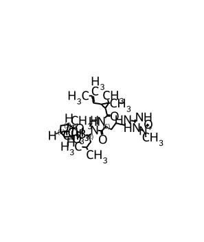 CC(C)=CC1C(C(=O)N[C@@H](CCCNC(=N)N[N+](C)=O)C(=O)N[C@@H](CC(C)C)B2O[C@@H]3C[C@@H]4C[C@@H](C4(C)C)[C@]3(C)O2)C1(C)C